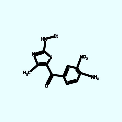 CCNc1nc(C)c(C(=O)c2ccc(N)c([N+](=O)[O-])c2)s1